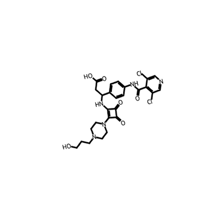 O=C(O)CC(Nc1c(N2CCN(CCCO)CC2)c(=O)c1=O)c1ccc(NC(=O)c2c(Cl)cncc2Cl)cc1